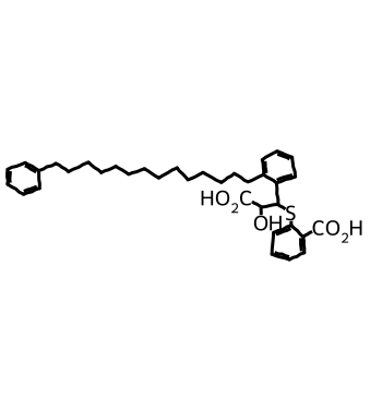 O=C(O)c1ccccc1SC(c1ccccc1CCCCCCCCCCCCCCc1ccccc1)C(O)C(=O)O